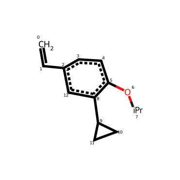 C=Cc1ccc(OC(C)C)c(C2CC2)c1